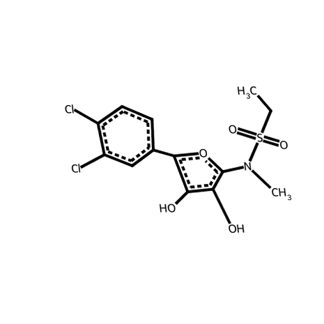 CCS(=O)(=O)N(C)c1oc(-c2ccc(Cl)c(Cl)c2)c(O)c1O